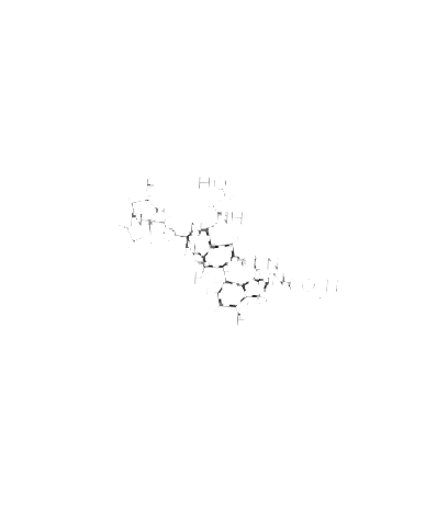 N#Cc1c(NC(=O)O)sc2c(F)ccc(-c3c(Cl)cc4c(NCCO)nc(OC[C@@]56CCCN5C[C@H](F)C6)nc4c3F)c12